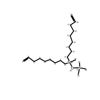 C=CCCCCCCC[Si](C)(CCCCCCCC=C)O[Si](C)(C)C